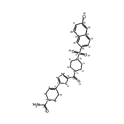 NC(=O)N1CC=C(c2cnc(C(=O)N3CCN(S(=O)(=O)c4ccc5cc(Cl)ccc5c4)CC3)s2)CC1